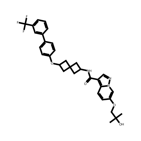 CC(C)(O)COc1ccc2c(C(=O)NC3CC4(C3)CC(Oc3ccc(-c5cccc(C(F)(F)F)c5)cc3)C4)cnn2c1